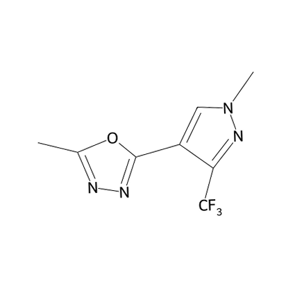 Cc1nnc(-c2cn(C)nc2C(F)(F)F)o1